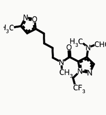 Cc1cc(CCCCN(C)C(=O)c2c(N(C)C=O)cnn2CC(F)(F)F)on1